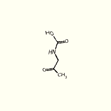 CC(=O)CNC(=O)O